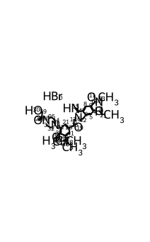 Br.CCOc1cc2c(cc1C(=O)NC)C(=N)N(CC(=O)c1cc(N3CCN(C(=O)CO)CC3)c(OC)c(C(C)(C)C)c1)C2